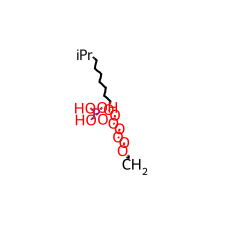 C=COOOOOOOCCCCCCCC(C)C.O=P(O)(O)O